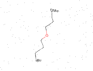 COCCOCCCC(C)(C)C